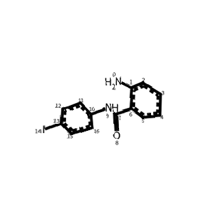 Nc1ccccc1C(=O)Nc1ccc(I)cc1